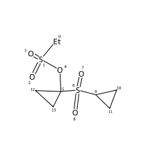 CCS(=O)(=O)OC1(S(=O)(=O)C2CC2)CC1